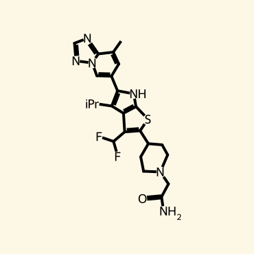 Cc1cc(-c2[nH]c3sc(C4CCN(CC(N)=O)CC4)c(C(F)F)c3c2C(C)C)cn2ncnc12